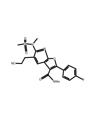 CNC(=O)c1c(-c2ccc(F)cc2)oc2nc(N(C)S(C)(=O)=O)c(CCC#N)cc12